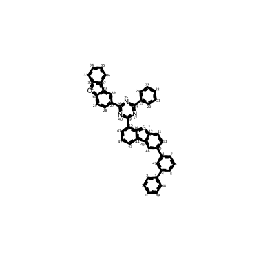 c1ccc(-c2cccc(-c3ccc4sc5c(-c6nc(-c7ccccc7)nc(-c7ccc8oc9ccccc9c8c7)n6)cccc5c4c3)c2)cc1